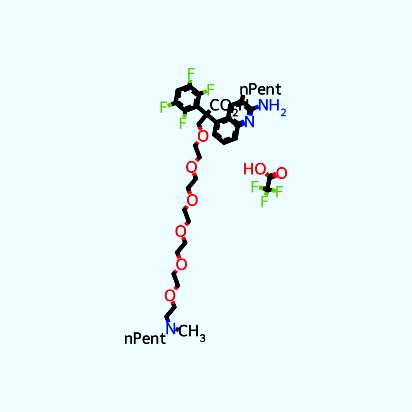 CCCCCc1cc2c(C(COCCOCCOCCOCCOCCOCCN(C)CCCCC)(C(=O)O)c3c(F)c(F)cc(F)c3F)cccc2nc1N.O=C(O)C(F)(F)F